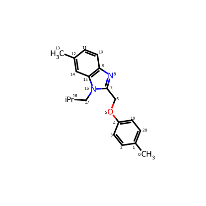 Cc1ccc(OCc2nc3ccc(C)cc3n2CC(C)C)cc1